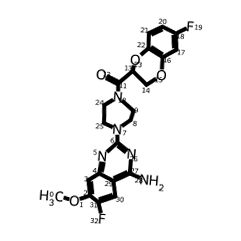 COc1cc2nc(N3CCN(C(=O)C4COc5cc(F)ccc5O4)CC3)nc(N)c2cc1F